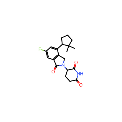 CC1(C)CCCC1c1cc(F)cc2c1CN(C1CCC(=O)NC1=O)C2=O